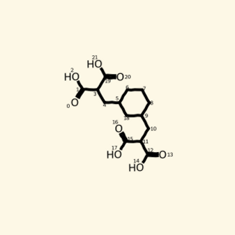 O=C(O)C(CC1CCCC(CC(C(=O)O)C(=O)O)C1)C(=O)O